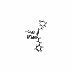 CNC(C#CCCC1SCCCS1)CCCc1ccccc1.O=C(O)C(=O)O